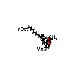 CCCCCCCC/C=C\CCCCCCCC(=O)OC1=CC[C@@]2(O)[C@H]3Cc4ccc(OC)c5c4[C@@]2(CCC3C)[C@H]1O5